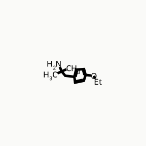 CCOc1ccc(CC(C)(C)N)cc1